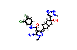 CN1NNC=C1C1(O)CC2CC(c3nn(C)c(N)c3C(=O)Nc3ccc(F)c(Cl)c3)CC2C1